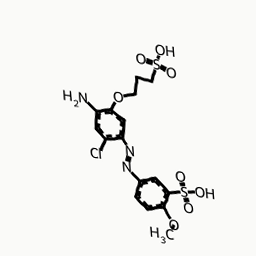 COc1ccc(N=Nc2cc(OCCCS(=O)(=O)O)c(N)cc2Cl)cc1S(=O)(=O)O